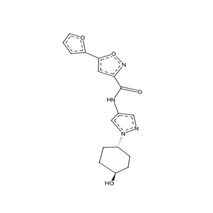 O=C(Nc1cnn([C@H]2CC[C@H](O)CC2)c1)c1cc(-c2ccco2)on1